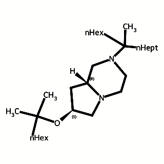 CCCCCCCC(C)(CCCCCC)N1CCN2C[C@@H](OC(C)(C)CCCCCC)C[C@@H]2C1